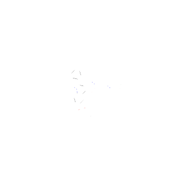 COC(=O)c1c(CN2CCC(N3CC[C@H](F)C3)CC2)c(-c2cccc(C(F)(F)F)c2)nc2ccc(S(C)(=O)=O)cc12